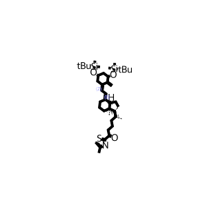 C=C1/C(=C\C=C2/CCC[C@]3(C)[C@@H]([C@H](C)CCCC(=O)c4nc(C)cs4)CC[C@@H]23)CC(O[Si](C)(C)C(C)(C)C)CC1O[Si](C)(C)C(C)(C)C